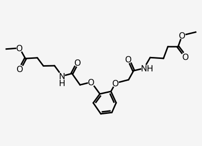 COC(=O)CCCNC(=O)COc1ccccc1OCC(=O)NCCCC(=O)OC